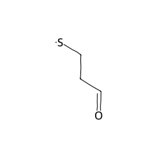 O=CCC[S]